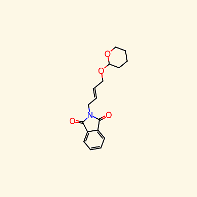 O=C1c2ccccc2C(=O)N1CC=CCOC1CCCCO1